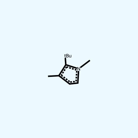 Cc1ccn(C)c1C(C)(C)C